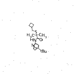 CC(C)(SCC1CCC1)C(=O)Nc1cc(C(C)(C)C)on1